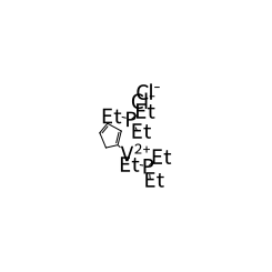 CCP(CC)CC.CCP(CC)CC.[Cl-].[Cl-].[V+2][C]1=CC=CC1